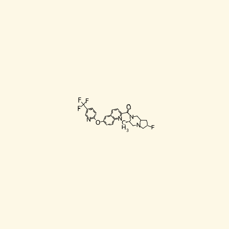 C[C@@H]1CN2CC(F)CC2CN1C(=O)c1ccc2cc(Oc3ccc(C(F)(F)F)cn3)ccc2n1